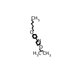 CCCCCCCOc1ccc(-c2ccc(OCC(C)CC)cn2)cc1